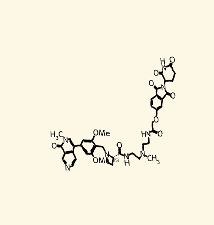 COc1cc(-c2cn(C)c(=O)c3cnccc23)cc(OC)c1CN1CC[C@H]1C(=O)NCCN(C)CCNC(=O)COc1ccc2c(c1)C(=O)N(C1CCC(=O)NC1=O)C2=O